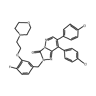 O=c1n(Cc2ccc(F)c(OCCN3CCOCC3)c2)nc2c(-c3ccc(Cl)cc3)c(-c3ccc(Cl)cc3)cnn12